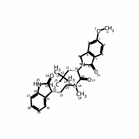 COc1ccc2c(c1)CN([C@@H](CC(C)(C)C)C(=O)N(C)CC[C@H]1C(=O)Nc3ccccc31)C2=O